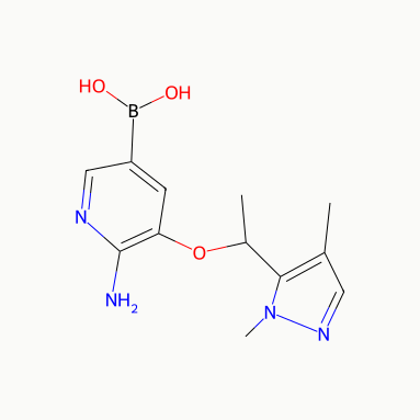 Cc1cnn(C)c1C(C)Oc1cc(B(O)O)cnc1N